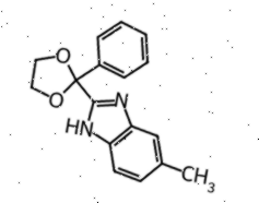 Cc1ccc2[nH]c(C3(c4ccccc4)OCCO3)nc2c1